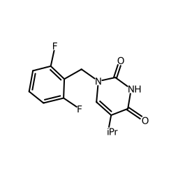 CC(C)c1cn(Cc2c(F)cccc2F)c(=O)[nH]c1=O